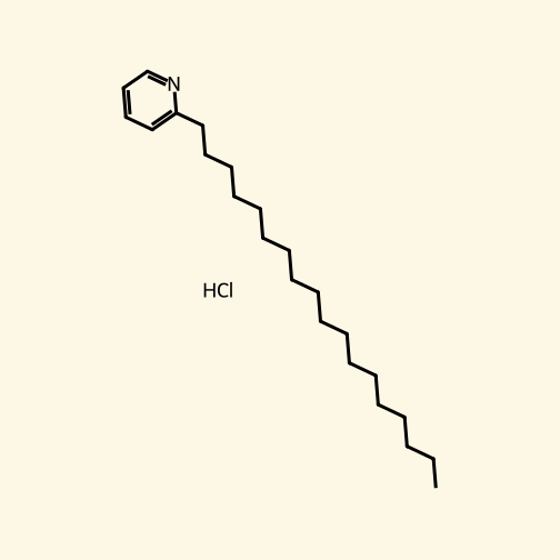 CCCCCCCCCCCCCCCCCCc1ccccn1.Cl